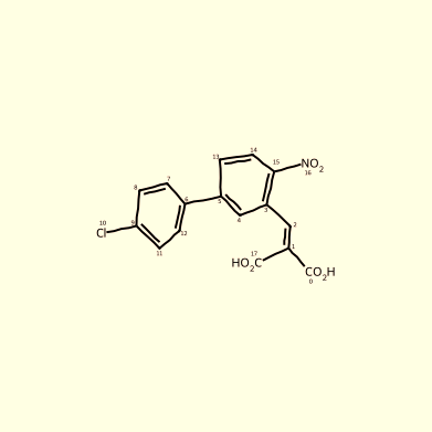 O=C(O)C(=Cc1cc(-c2ccc(Cl)cc2)ccc1[N+](=O)[O-])C(=O)O